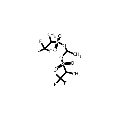 CC(OS(=O)(=O)C(C)C(F)(F)F)OS(=O)(=O)C(C)C(F)(F)F